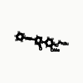 COc1cc(-n2ccc(C#Cc3ccccc3)nc2=O)ccc1OCC(C)(C)C